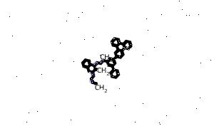 C=C/C=C\C=C1/Cc2ccccc2/C(=C/C=C(\C)c2cc(C3=CCCC=C3)cc(-c3ccc4c5ccccc5c5ccccc5c4c3)c2)C1=C